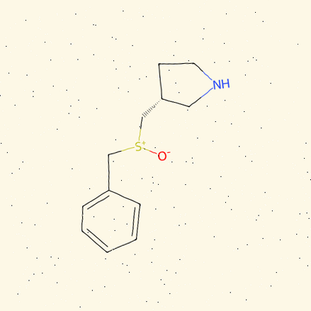 [O-][S+](Cc1ccccc1)C[C@@H]1CCNC1